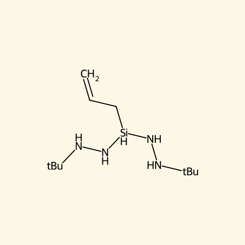 C=CC[SiH](NNC(C)(C)C)NNC(C)(C)C